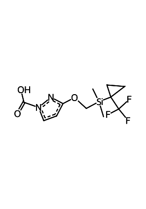 C[Si](C)(COc1ccn(C(=O)O)n1)C1(C(F)(F)F)CC1